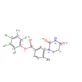 CCc1ccc(C(=O)Oc2c(F)c(F)c(F)c(F)c2F)cc1N1CCC(=O)NC1=O